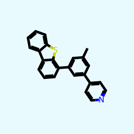 Cc1cc(-c2ccncc2)cc(-c2cccc3c2sc2ccccc23)c1